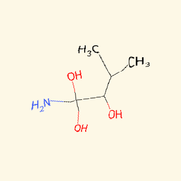 CC(C)C(O)C(N)(O)O